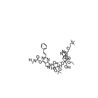 CCOP(=O)(OCC)[C@@](CO)(Cc1nnn(COCC[Si](C)(C)C)n1)OC[C@H]1O[C@@H](n2ncc3c(OC(N)=O)nc(/C=C/c4ccccc4)nc32)[C@@H]2OC(C)(C)O[C@@H]21